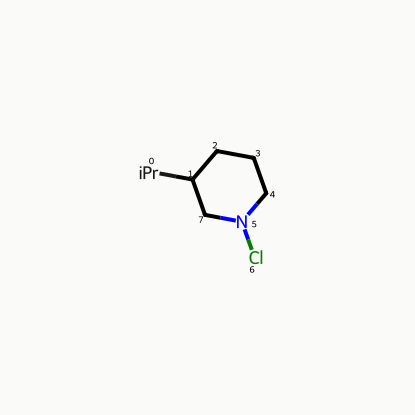 CC(C)C1CCCN(Cl)C1